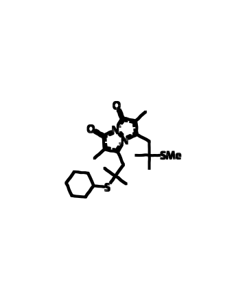 CSC(C)(C)Cc1c(C)c(=O)n2c(=O)c(C)c(CC(C)(C)SC3CCCCC3)n12